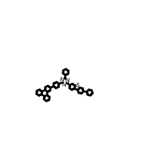 c1ccc(-c2ccc3c(c2)sc2cc(-c4nc(-c5ccccc5)nc(-c5ccc(-c6ccc7c8ccccc8c8ccccc8c7c6)cc5)n4)ccc23)cc1